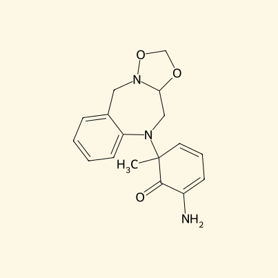 CC1(N2CC3OCON3Cc3ccccc32)C=CC=C(N)C1=O